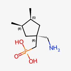 C[C@@H]1C[C@](CN)(CP(=O)(O)O)C[C@@H]1C